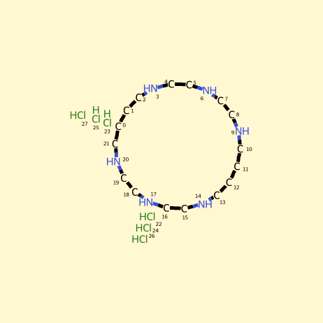 C1CCNCCNCCNCCCCNCCNCCNC1.Cl.Cl.Cl.Cl.Cl.Cl